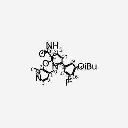 Cc1ccnc(C)c1Oc1nc(-c2cc(F)cc(OCC(C)C)c2)ccc1C(N)=O